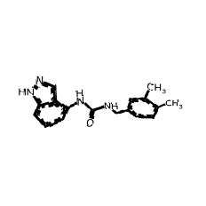 Cc1ccc(CNC(=O)Nc2cccc3[nH]ncc23)cc1C